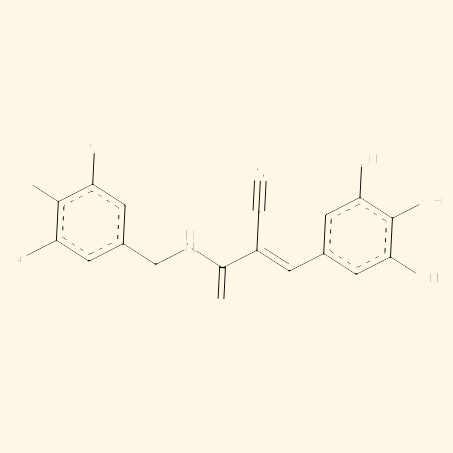 N#C/C(=C\c1cc(O)c(O)c(O)c1)C(=S)NCc1cc(O)c(O)c(Br)c1